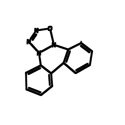 [c]1cccc2c1N1ON=NN1c1ccccc1-2